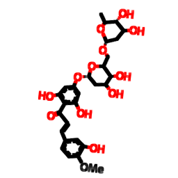 COc1ccc(/C=C/C(=O)c2c(O)cc(O[C@H]3CC(O)[C@H](O)C(CO[C@H]4CC(O)[C@@H](O)C(C)O4)O3)cc2O)cc1O